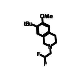 COc1cc2c(cc1C(C)(C)C)CN(CC(F)F)CC2